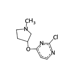 CN1CCC(Oc2ccnc(Cl)n2)C1